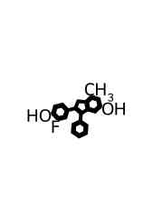 Cc1cc(O)cc2c1CC(c1ccc(O)c(F)c1)=C2c1ccccc1